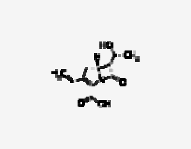 C=CC1=C(C(=O)O)N2C(=O)[C@@H]([C@@H](C)O)[C@H]2C1